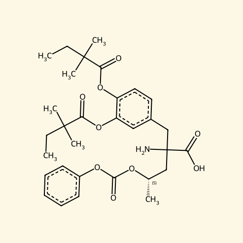 CCC(C)(C)C(=O)Oc1ccc(CC(N)(C[C@H](C)OC(=O)Oc2ccccc2)C(=O)O)cc1OC(=O)C(C)(C)CC